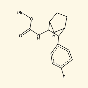 CC(C)(C)OC(=O)NC1C2CCC(N2)C1c1ccc(F)cc1